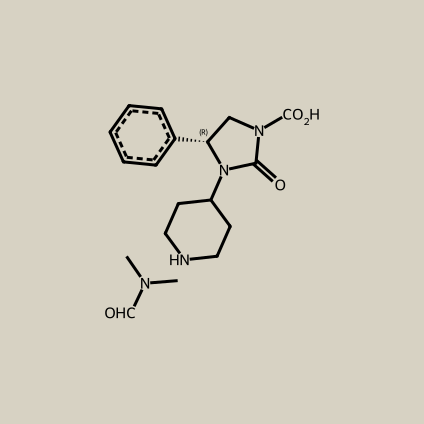 CN(C)C=O.O=C(O)N1C[C@@H](c2ccccc2)N(C2CCNCC2)C1=O